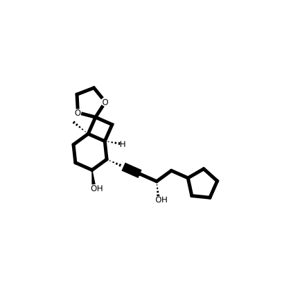 C[C@@]12CC[C@H](O)[C@@H](C#C[C@@H](O)CC3CCCC3)[C@@H]1CC21OCCO1